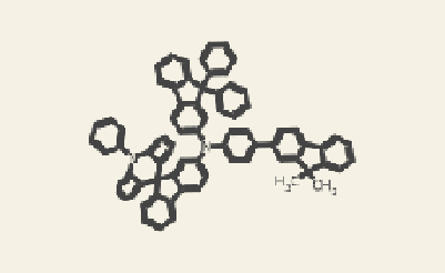 CC1(C)c2ccccc2-c2ccc(-c3ccc(N(c4ccc5c(c4)C(c4ccccc4)(c4ccccc4)c4ccccc4-5)c4ccc5c(c4)C4(c6ccccc6-5)c5ccccc5N(c5ccccc5)c5ccccc54)cc3)cc21